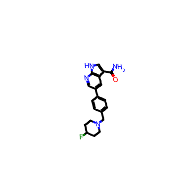 NC(=O)c1c[nH]c2ncc(-c3ccc(CN4CCC(F)CC4)cc3)cc12